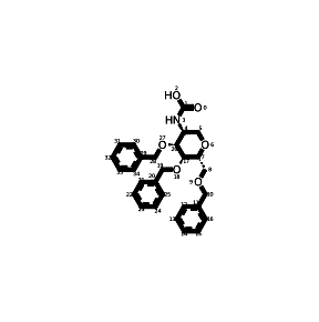 O=C(O)N[C@H]1CO[C@H](COCc2ccccc2)[C@H](OCc2ccccc2)[C@@H]1OCc1ccccc1